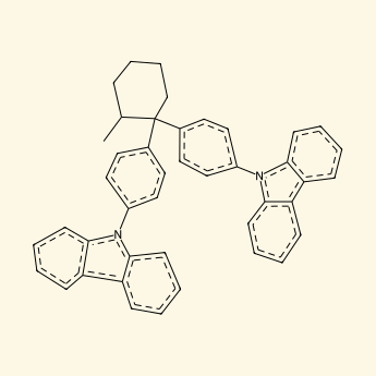 CC1CCCCC1(c1ccc(-n2c3ccccc3c3ccccc32)cc1)c1ccc(-n2c3ccccc3c3ccccc32)cc1